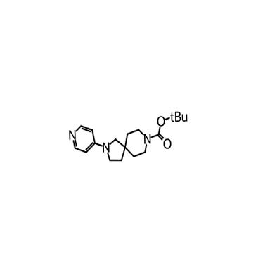 CC(C)(C)OC(=O)N1CCC2(CC1)CCN(c1ccncc1)C2